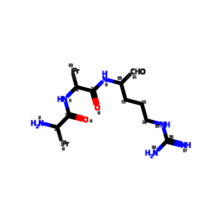 CC(C)C(N)C(=O)NC(C(=O)NC(C=O)CCCNC(=N)N)C(C)C